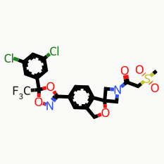 CS(=O)(=O)CC(=O)N1CC2(C1)OCc1cc(C3=NOC(c4cc(Cl)cc(Cl)c4)(C(F)(F)F)O3)ccc12